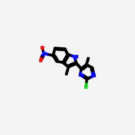 Cc1cnc(Cl)nc1-c1[nH]c2ccc([N+](=O)[O-])cc2c1C